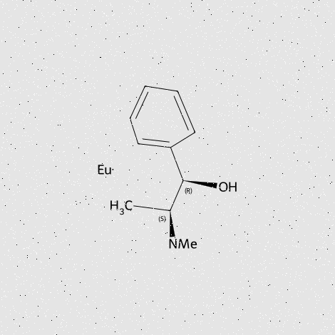 CN[C@@H](C)[C@H](O)c1ccccc1.[Eu]